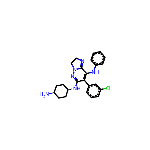 N[C@H]1CC[C@H](NC2=NN3CCN=C3C(Nc3ccccc3)=C2c2cccc(Cl)c2)CC1